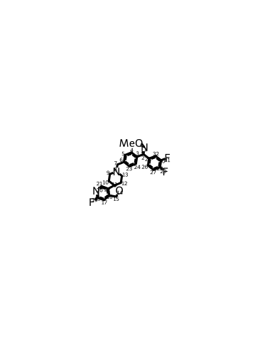 CO/N=C(\c1ccc(CN2CCC3(CC2)OCc2cc(F)ncc23)cc1)c1ccc(F)c(F)c1